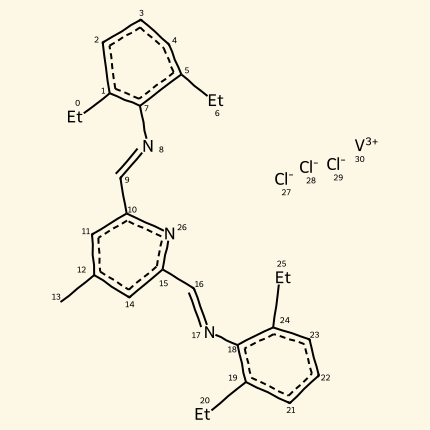 CCc1cccc(CC)c1N=Cc1cc(C)cc(C=Nc2c(CC)cccc2CC)n1.[Cl-].[Cl-].[Cl-].[V+3]